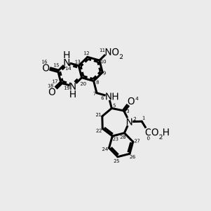 O=C(O)CN1C(=O)C(NCc2cc([N+](=O)[O-])cc3[nH]c(=O)c(=O)[nH]c23)CC=C2C=CC=CC21